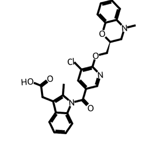 Cc1c(CC(=O)O)c2ccccc2n1C(=O)c1cnc(OC[C@@H]2CN(C)c3ccccc3O2)c(Cl)c1